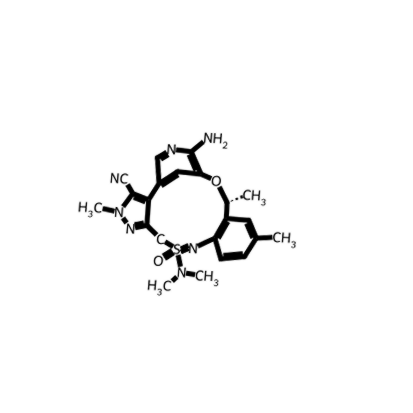 Cc1ccc2c(c1)[C@@H](C)Oc1cc(cnc1N)-c1c(nn(C)c1C#N)CS(=O)(N(C)C)=N2